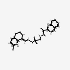 C/C(=N\OCC(C)(C)CO/N=C1\CCCc2ccc(C)nc21)c1ncc2ccccc2n1